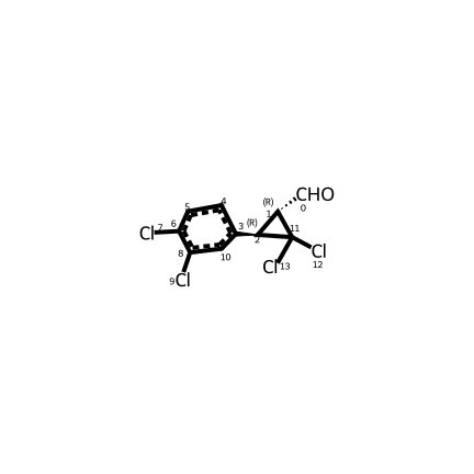 O=C[C@H]1[C@H](c2ccc(Cl)c(Cl)c2)C1(Cl)Cl